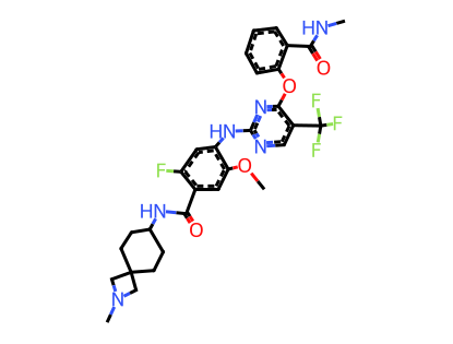 CNC(=O)c1ccccc1Oc1nc(Nc2cc(F)c(C(=O)NC3CCC4(CC3)CN(C)C4)cc2OC)ncc1C(F)(F)F